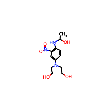 CC(O)Nc1ccc(N(CCO)CCO)cc1[N+](=O)[O-]